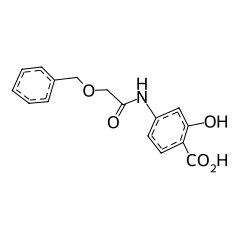 O=C(COCc1ccccc1)Nc1ccc(C(=O)O)c(O)c1